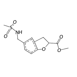 COC(=O)C1Cc2cc(CNS(C)(=O)=O)ccc2O1